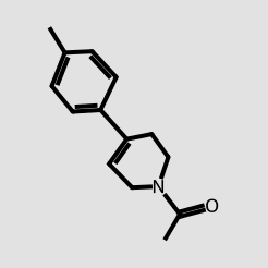 CC(=O)N1CC=C(c2ccc(C)cc2)CC1